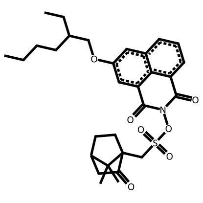 CCCCC(CC)COc1cc2c3c(cccc3c1)C(=O)N(OS(=O)(=O)CC13CCC(CC1=O)C3(C)C)C2=O